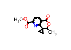 COC(=O)c1ccc2c(n1)C1(CC1)C(C)OC2=O